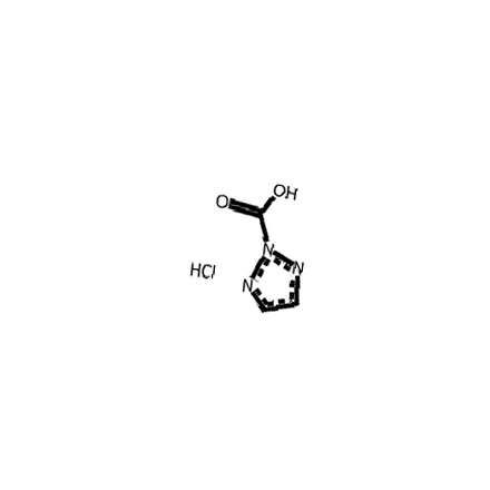 Cl.O=C(O)n1nccn1